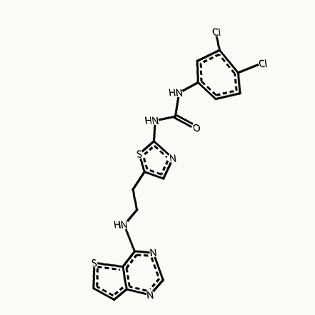 O=C(Nc1ccc(Cl)c(Cl)c1)Nc1ncc(CCNc2ncnc3ccsc23)s1